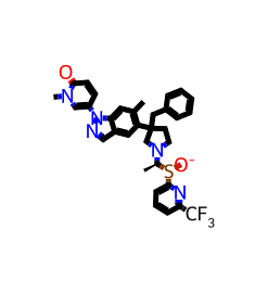 Cc1cc2c(cnn2-c2ccc(=O)n(C)c2)cc1C1(Cc2ccccc2)CCN([C@H](C)[S+]([O-])c2cccc(C(F)(F)F)n2)C1